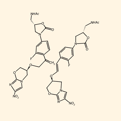 C=C(CO[C@@H]1COc2nc([N+](=O)[O-])cn2C1)c1ccc(N2C[C@H](CNC(C)=O)OC2=O)cc1F.CC(=O)NC[C@H]1CN(c2ccc(/C=C/O[C@@H]3COc4nc([N+](=O)[O-])cn4C3)c(F)c2)C(=O)O1